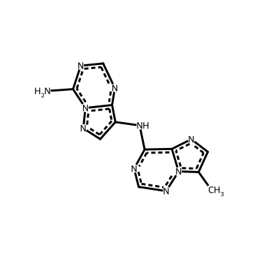 Cc1cnc2c(Nc3cnn4c(N)ncnc34)ncnn12